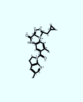 Cc1cnc2c(c1)CCN2C(=O)c1cc2[nH]c(=O)c3nnc(CC4CC4)n3c2cc1C